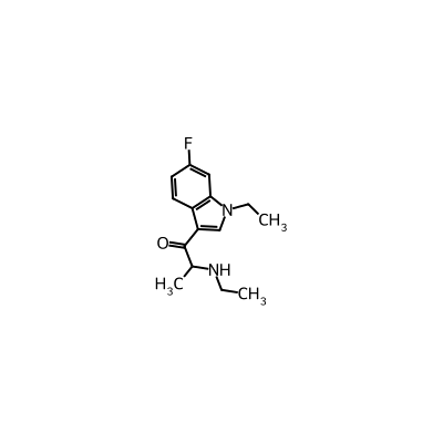 CCNC(C)C(=O)c1cn(CC)c2cc(F)ccc12